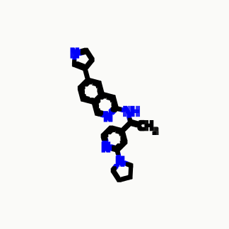 C=C(Nc1cc2cc(C3=CN=CC3)ccc2cn1)c1ccnc(N2CCCC2)c1